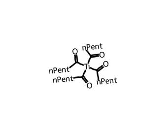 CCCCC[C](=O)[Ti]([C](=O)CCCCC)([C](=O)CCCCC)[C](=O)CCCCC